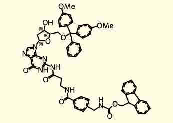 COc1ccc(C(OC[C@H]2O[C@@H](n3cnc4c(=O)[nH]c(NC(=O)CCNC(=O)c5ccc(CNC(=O)OCC6c7ccccc7-c7ccccc76)cc5)nc43)C[C@H]2O)(c2ccccc2)c2ccc(OC)cc2)cc1